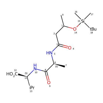 CC(CC(=O)N[C@@H](C)C(=O)N[C@H](C(=O)O)C(C)C)O[Si](C)(C)C(C)(C)C